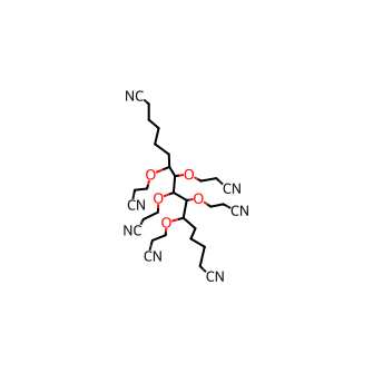 N#CCCCCCC(OCCC#N)C(OCCC#N)C(OCCC#N)C(OCCC#N)C(CCCCC#N)OCCC#N